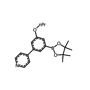 CCCOc1cc(B2OC(C)(C)C(C)(C)O2)cc(-c2ccncc2)c1